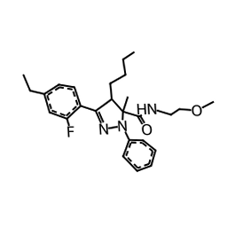 CCCCC1C(c2ccc(CC)cc2F)=NN(c2ccccc2)C1(C)C(=O)NCCOC